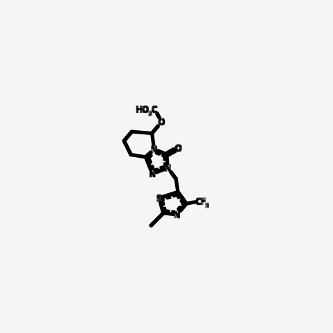 Cc1nc(C(F)(F)F)c(Cn2nc3n(c2=O)C(OC(=O)O)CCC3)s1